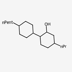 CCCCCC1CCC(C2CCC(CCC)CC2O)CC1